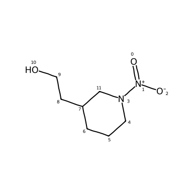 O=[N+]([O-])N1CCCC(CCO)C1